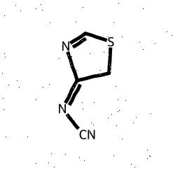 N#C/N=C1\CSC=N1